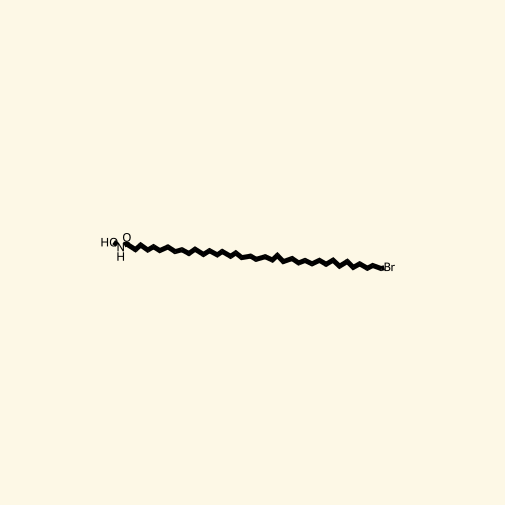 O=C(CCCCCCCCCCCCCCCCCCCCCCCCCCCCCCCCCCCCCBr)NO